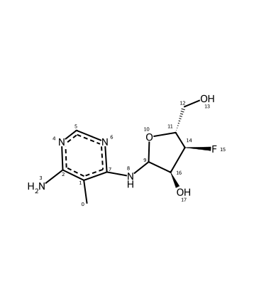 Cc1c(N)ncnc1NC1O[C@H](CO)[C@@H](F)[C@H]1O